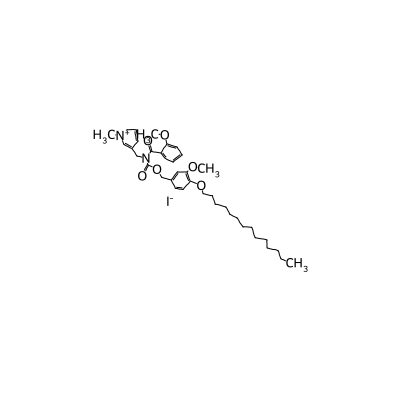 CCCCCCCCCCCCCCOc1ccc(COC(=O)N(Cc2ccc[n+](C)c2)C(=O)c2ccccc2OC)cc1OC.[I-]